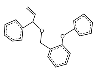 C=CC(OCc1ccccc1Oc1ccccc1)c1ccccc1